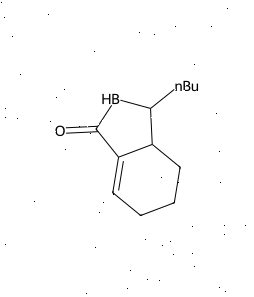 CCCCC1BC(=O)C2=CCCCC21